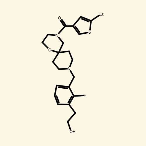 CCc1cc(C(=O)N2CCOC3(CCN(Cc4cccc(CCO)c4F)CC3)C2)cs1